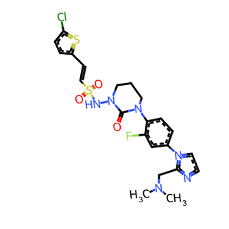 CN(C)Cc1nccn1-c1ccc(N2CCCN(NS(=O)(=O)C=Cc3ccc(Cl)s3)C2=O)c(F)c1